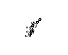 CNC(C)C(=O)NC(C(=O)N1CCCC1C(=O)Nc1cc2c(Nc3ccc(-c4ccccc4)cc3)ncnc2cc1OC)C(C)(C)C